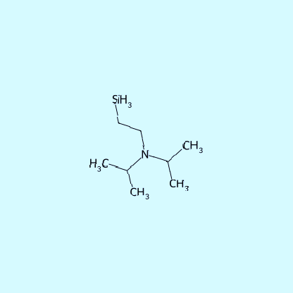 CC(C)N(CC[SiH3])C(C)C